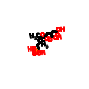 CC(C)(CCCCP(=O)(O)O)OC(=O)CC(CC(=O)O)C(=O)O